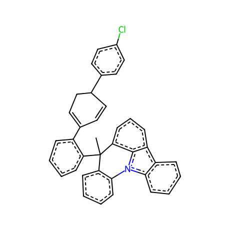 CC1(c2ccccc2C2=CCC(c3ccc(Cl)cc3)C=C2)c2ccccc2-n2c3ccccc3c3cccc1c32